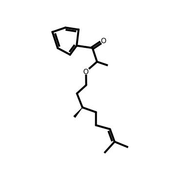 CC(C)=CCC[C@@H](C)CCOC(C)C(=O)c1ccccc1